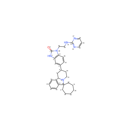 O=c1[nH]c2cc(C3CCN(C4(c5ccccc5)CCCCCC4)CC3)ccc2n1CCNc1ncccn1